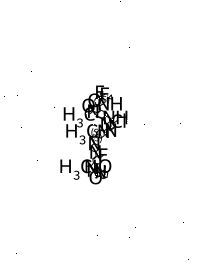 C[C@@H]1CN(c2ncc(Cl)c(Nc3ccc4c(c3)c3c(c(=O)n4C)OCC(F)(F)[C@H](C4CC4)N3)n2)CC[C@@H]1CN1CCN(c2cc3c(cc2F)c(N2C(=O)CCCC2=O)nn3C)CC1